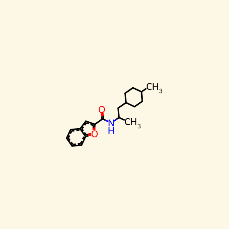 CC1CCC(CC(C)NC(=O)c2cc3ccccc3o2)CC1